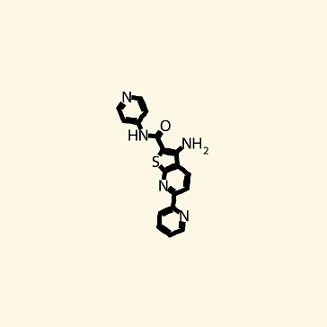 Nc1c(C(=O)Nc2ccncc2)sc2nc(-c3ccccn3)ccc12